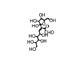 O=CC(=O)/C(=C\C(O)C(O)C(O)C(O)CO)C1(O)OC(CO)C(O)C1O